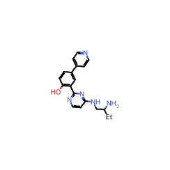 CCC(N)CNc1ccnc(-c2cc(-c3ccncc3)ccc2O)n1